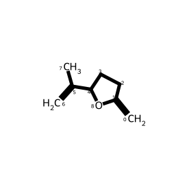 C=C1CCC(C(=C)C)O1